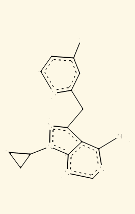 Nc1ncnc2c1c(Cc1cc(Cl)ccn1)nn2C1CC1